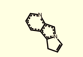 C1=Cn2cc3ncccc3c2C1